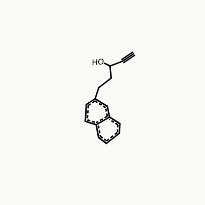 C#CC(O)CCc1ccc2ccccc2c1